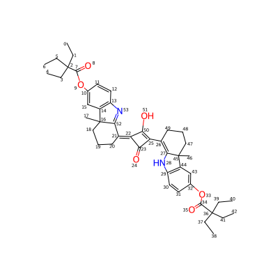 CCC(CC)(CC)C(=O)Oc1ccc2c(c1)C1(C)CCC/C(=C3\C(=O)C(C4=C5Nc6ccc(OC(=O)C(CC)(CC)CC)cc6C5(C)CCC4)=C3O)C1=N2